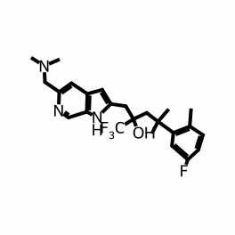 Cc1ccc(F)cc1C(C)(C)CC(O)(Cc1cc2cc(CN(C)C)ncc2[nH]1)C(F)(F)F